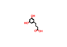 O=C(O)CCCc1cc(O)cc(O)c1